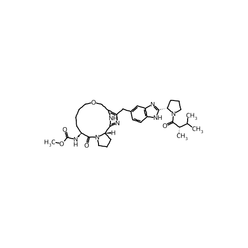 COC(=O)N[C@H]1CCCCOCc2[nH]c(nc2Cc2ccc3[nH]c([C@@H]4CCCN4C(=O)[C@@H](C)C(C)C)nc3c2)[C@@H]2CCCN2C1=O